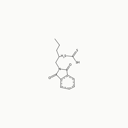 CCCC(CN1C(=O)c2ccccc2C1=O)[SH2]C(=S)S